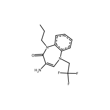 CCCN1C(=O)C(N)=CN(CC(F)(F)F)c2ccccc21